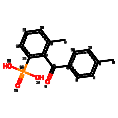 Cc1ccc(C(=O)c2c(C)cccc2P(=O)(O)O)cc1